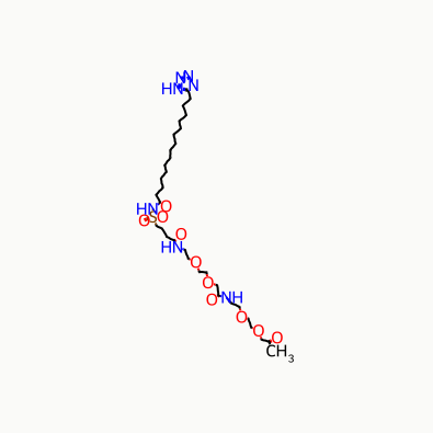 CC(=O)COCCOCCNC(=O)COCCOCCNC(=O)CCCS(=O)(=O)NC(=O)CCCCCCCCCCCCCCc1nnn[nH]1